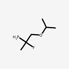 CC(C)OCC(C)(F)P